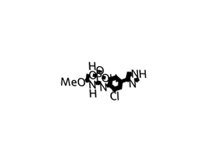 COC(C)NC(=Nc1ccc(-c2c[nH]cn2)cc1Cl)P(=O)(O)O